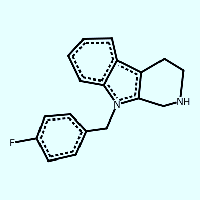 Fc1ccc(Cn2c3c(c4ccccc42)CCNC3)cc1